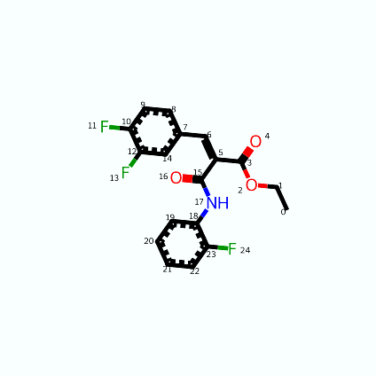 CCOC(=O)/C(=C/c1ccc(F)c(F)c1)C(=O)Nc1ccccc1F